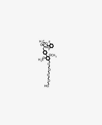 COC(=O)[C@H](Cc1ccc(-c2c(OC)cc(COCCOCCOCCOCCO)cc2OC)cc1)NC(=O)c1c(F)cccc1F